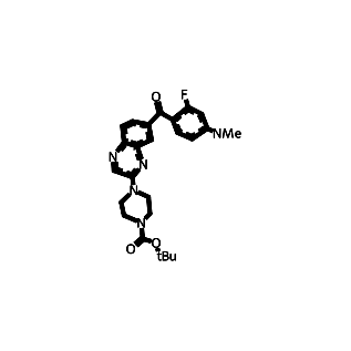 CNc1ccc(C(=O)c2ccc3ncc(N4CCN(C(=O)OC(C)(C)C)CC4)nc3c2)c(F)c1